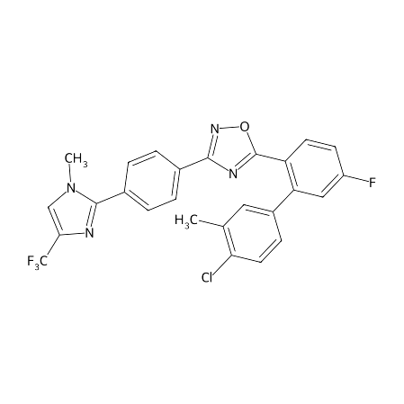 Cc1cc(-c2cc(F)ccc2-c2nc(-c3ccc(-c4nc(C(F)(F)F)cn4C)cc3)no2)ccc1Cl